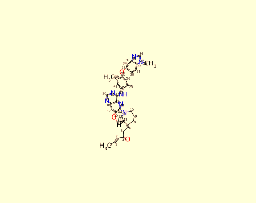 CC#CC(=O)CCC1CCCN2C[C@H]1COc1cc3ncnc(Nc4ccc(Oc5ccc6c(c5)ncn6C)c(C)c4)c3nc12